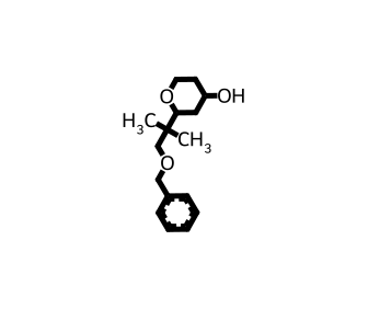 CC(C)(COCc1ccccc1)C1CC(O)CCO1